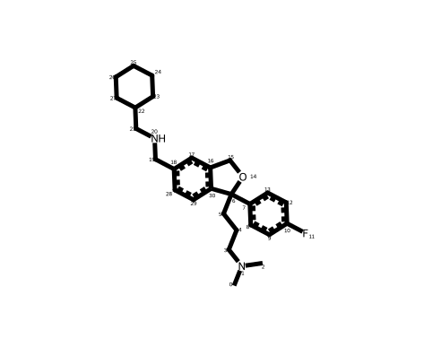 CN(C)CCCC1(c2ccc(F)cc2)OCc2cc(CNCC3CCCCC3)ccc21